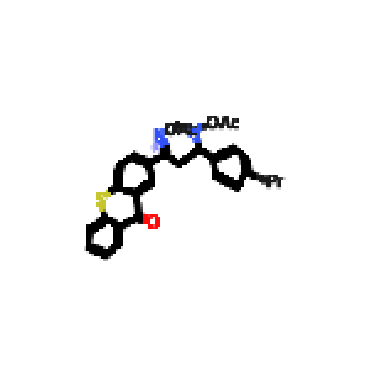 CC(=O)O/N=C(\CC(c1ccc(C(C)C)cc1)N(OC(C)=O)C(C)=O)c1ccc2sc3ccccc3c(=O)c2c1